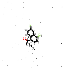 CC(=O)c1ccc(F)c2cc(F)ccc12